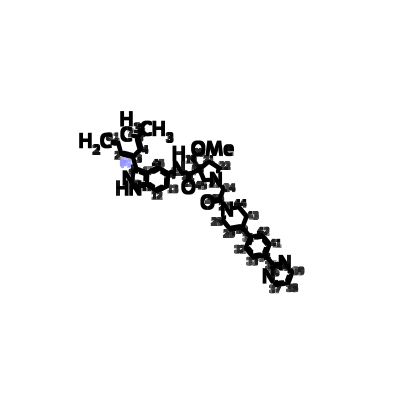 C=C/C=C(\C=C(C)C)c1n[nH]c2ccc(NC(=O)[C@]3(COC)CCN(CC(=O)N4CC=C(c5ccc(-c6ncccn6)cc5)CC4)C3)cc12